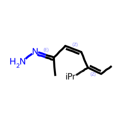 C\C=C(/C=C\C(C)=N\N)C(C)C